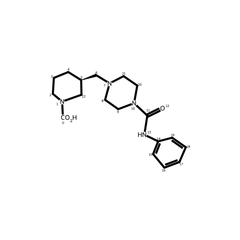 O=C(O)N1CCC[C@@H](CN2CCN(C(=O)Nc3ccccc3)CC2)C1